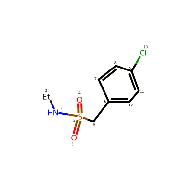 CCNS(=O)(=O)Cc1ccc(Cl)cc1